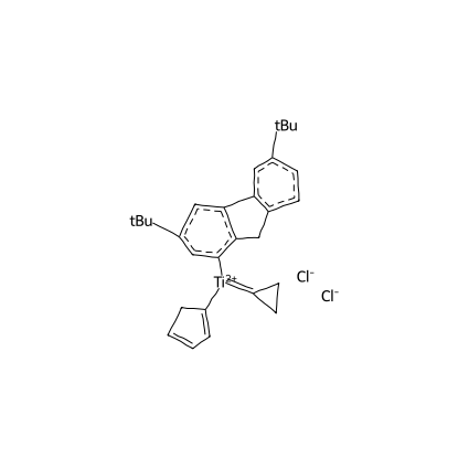 CC(C)(C)c1ccc2c(c1)-c1cc(C(C)(C)C)c[c]([Ti+2]([C]3=CC=CC3)=[C]3CC3)c1C2.[Cl-].[Cl-]